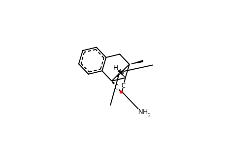 CC1CCN(C)[C@]2(C)Cc3ccccc3[C@]13CCC(N)C[C@H]32